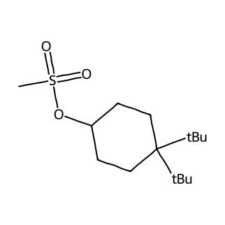 CC(C)(C)C1(C(C)(C)C)CCC(OS(C)(=O)=O)CC1